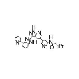 CC(C)CC(=O)Nc1cncc(-c2cnc3[nH]nc(-c4nc5c(-c6ccccn6)cccc5[nH]4)c3c2)c1